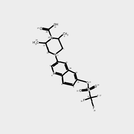 CC1CN(c2cnc3ccc(OS(=O)(=O)C(F)(F)F)cc3c2)CC(C)N1C(=O)O